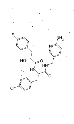 Nc1ccc(CNC(=O)[C@H](Cc2ccc(Cl)cc2)NC(=O)[C@H](O)Cc2ccc(F)cc2)cn1